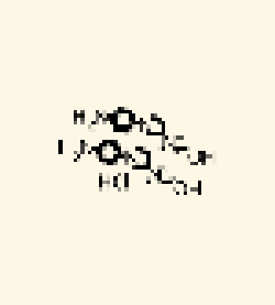 C[N+](C)(CCO)C1CCN(c2ccc(N)cc2)C1.C[N+](C)(CCO)C1CCN(c2ccc(N)cc2)C1.Cl